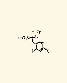 CCOC(=O)C(CC)(Cc1ccc(F)cc1F)C(=O)OCC